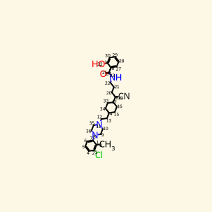 Cc1c(Cl)cccc1N1CCN(CCC2CCC(C(C#N)CCCNC(=O)c3ccccc3O)CC2)CC1